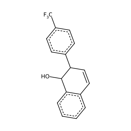 OC1c2ccccc2C=CC1c1ccc(C(F)(F)F)cc1